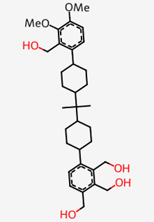 COc1ccc(C2CCC(C(C)(C)C3CCC(c4ccc(CO)c(CO)c4CO)CC3)CC2)c(CO)c1OC